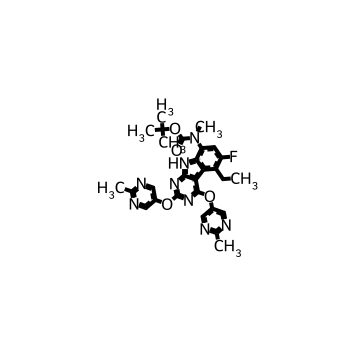 CCc1c(F)cc(N(C)C(=O)OC(C)(C)C)c2[nH]c3nc(Oc4cnc(C)nc4)nc(Oc4cnc(C)nc4)c3c12